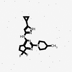 CC1CCN(c2nc(Nc3cc(C4CC4)[nH]n3)c3c(n2)C(F)(F)CC3)CC1